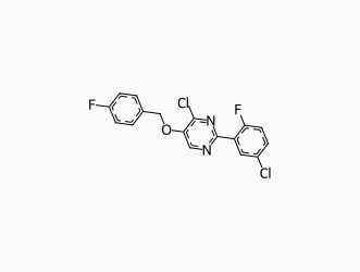 Fc1ccc(COc2cnc(-c3cc(Cl)ccc3F)nc2Cl)cc1